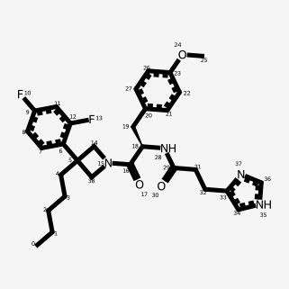 CCCCCC1(c2ccc(F)cc2F)CN(C(=O)[C@@H](Cc2ccc(OC)cc2)NC(=O)CCc2c[nH]cn2)C1